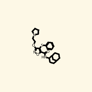 O=C(NC1CCC2CCCC1C2)c1onc(OCCN2CCCC2)c1Sc1ccccc1